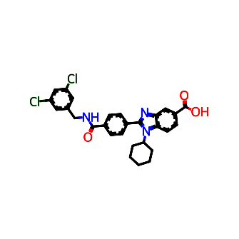 O=C(O)c1ccc2c(c1)nc(-c1ccc(C(=O)NCc3cc(Cl)cc(Cl)c3)cc1)n2C1CCCCC1